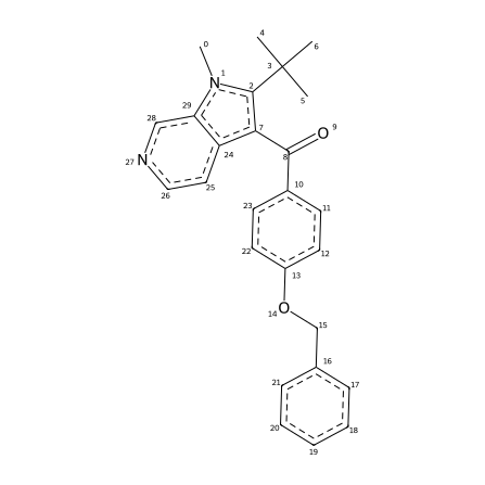 Cn1c(C(C)(C)C)c(C(=O)c2ccc(OCc3ccccc3)cc2)c2ccncc21